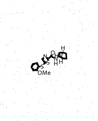 COc1ccccc1Sc1cnc(C(=O)N[C@@H]2C[C@H]3CC[C@@H]2N3)s1